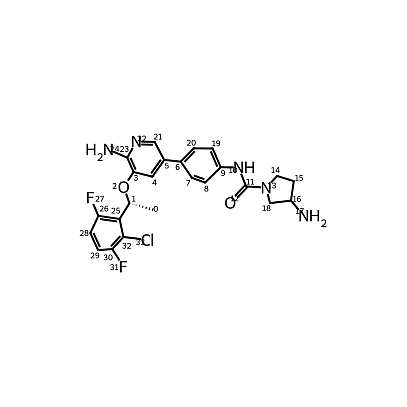 C[C@@H](Oc1cc(-c2ccc(NC(=O)N3CCC(N)C3)cc2)cnc1N)c1c(F)ccc(F)c1Cl